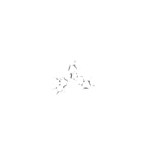 CC1(C)C(=O)Nc2nc(-c3nc(Cc4c(F)ccc(F)c4F)n4cc(F)ccc34)nc(N)c21